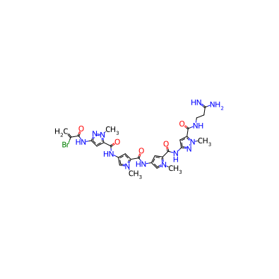 C=C(Br)C(=O)Nc1cc(C(=O)Nc2cc(C(=O)Nc3cc(C(=O)Nc4cc(C(=O)NCCC(=N)N)n(C)n4)n(C)c3)n(C)c2)n(C)n1